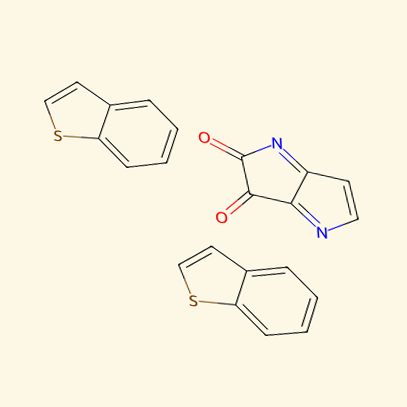 O=c1nc2ccnc-2c1=O.c1ccc2sccc2c1.c1ccc2sccc2c1